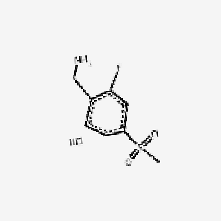 CS(=O)(=O)c1ccc(CN)c(F)c1.Cl